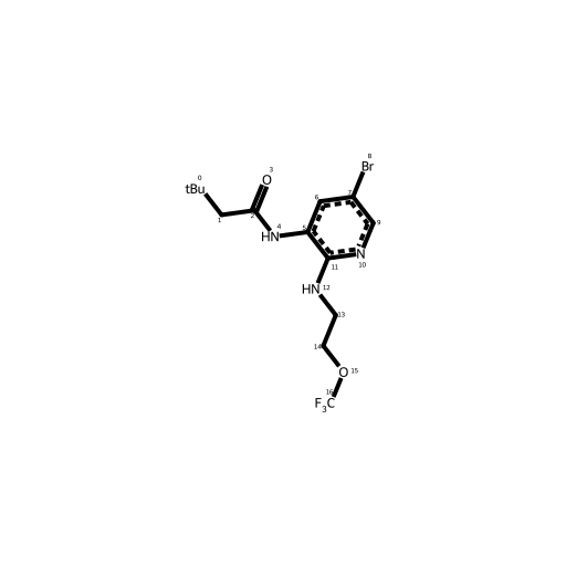 CC(C)(C)CC(=O)Nc1cc(Br)cnc1NCCOC(F)(F)F